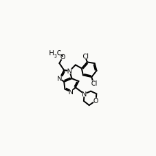 COCc1nc2cnc(N3CCOCC3)cc2n1Cc1cc(Cl)ccc1Cl